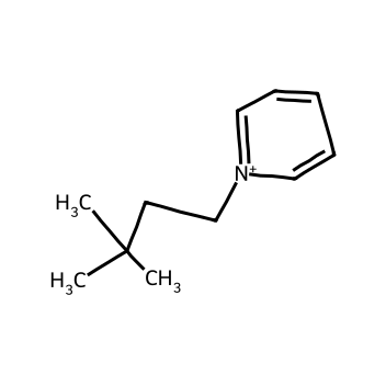 CC(C)(C)CC[n+]1ccccc1